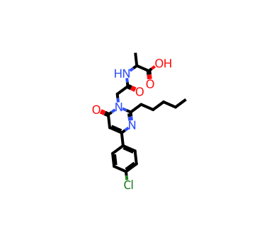 CCCCCc1nc(-c2ccc(Cl)cc2)cc(=O)n1CC(=O)NC(C)C(=O)O